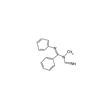 CN(C=N)/C(=N/c1ccccc1)c1ccccc1